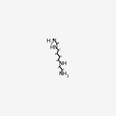 NCCNCCCCNCN